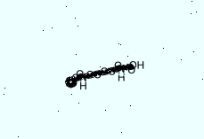 O=C(O)CCCNC(=O)CCOCCOCCOCCOCCNC(=O)COC1C#CCCCCC1